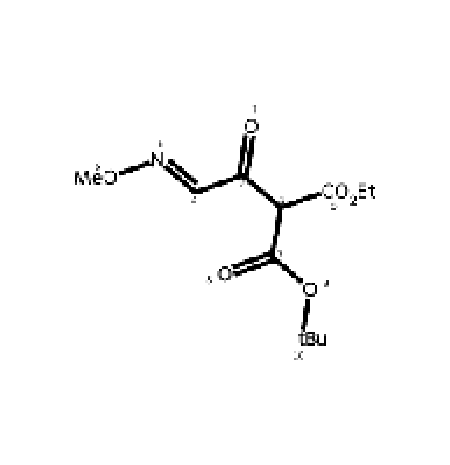 CCOC(=O)C(C(=O)C=NOC)C(=O)OC(C)(C)C